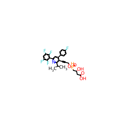 CC(C)c1nc(-c2c(F)c(F)cc(F)c2F)cc(-c2ccc(F)cc2)c1C#CCO[PH](=O)CC(O)CC(=O)O